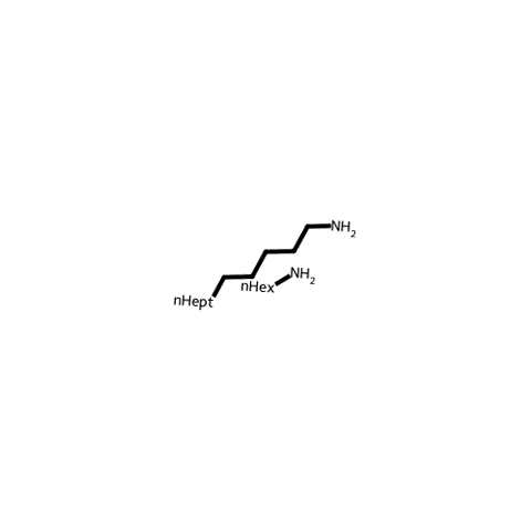 CCCCCCCCCCCCN.CCCCCCN